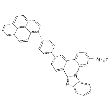 [C-]#[N+]c1ccc2c3cc(-c4ccc(-c5ccc6ccc7cccc8ccc5c6c78)cc4)ccc3c3nc4ccccc4n3c2c1